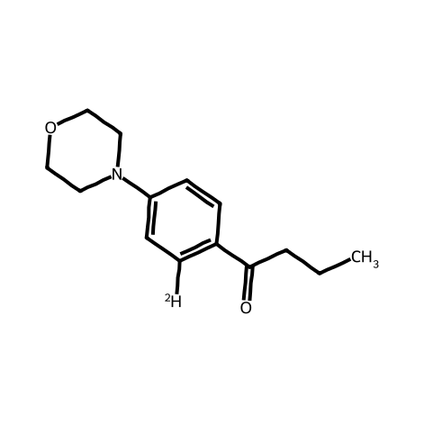 [2H]c1cc(N2CCOCC2)ccc1C(=O)CCC